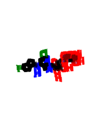 O=P(O)(O)CP(=O)(O)OC[C@H]1O[C@@H](n2ncc3c(N[C@@H]4CCc5cc(F)ccc54)cc(Cl)nc32)[C@H](O)[C@@H]1O